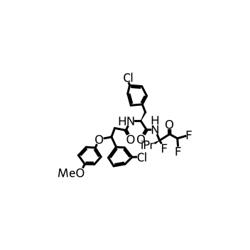 COc1ccc(OC(CC(=O)N[C@@H](Cc2ccc(Cl)cc2)C(=O)N[C@@](F)(C(=O)C(F)F)C(C)C)c2cccc(Cl)c2)cc1